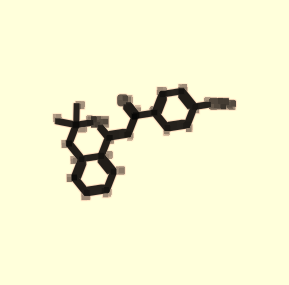 COc1ccc(C(=O)/C=C2\NC(C)(C)Cc3ccccc32)cc1